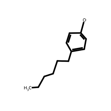 CCCCCCc1ccc([O])cc1